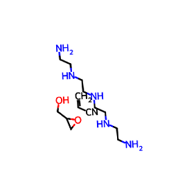 C=CC#N.NCCNCCNCCNCCN.OCC1CO1